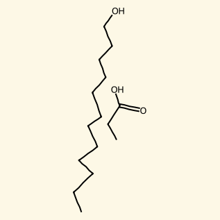 CCC(=O)O.CCCCCCCCCCCCO